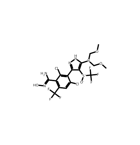 COCN(COC)c1[nH]nc(-c2c(Cl)cc(C(F)(F)F)c(C(N)=NO)c2Cl)c1[S+]([O-])C(F)(F)F